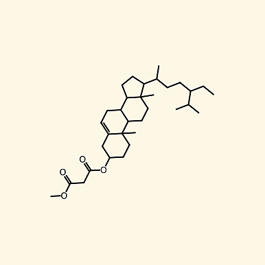 CCC(CCC(C)C1CCC2C3CC=C4CC(OC(=O)CC(=O)OC)CCC4(C)C3CCC12C)C(C)C